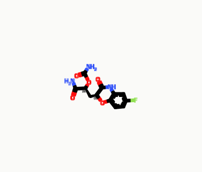 NC(=O)O[C@@H](C[C@@H]1Oc2ccc(F)cc2NC1=O)C(N)=O